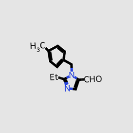 CCc1ncc(C=O)n1Cc1ccc(C)cc1